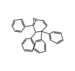 C1=CC(c2ccccc2)(c2ccccc2)C(c2ccccc2)C(c2ccccc2)=N1